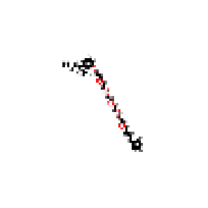 CC(C)c1cccc(OCCOCCOCCOCCOCCOCCCCC2=CCC=C2)c1